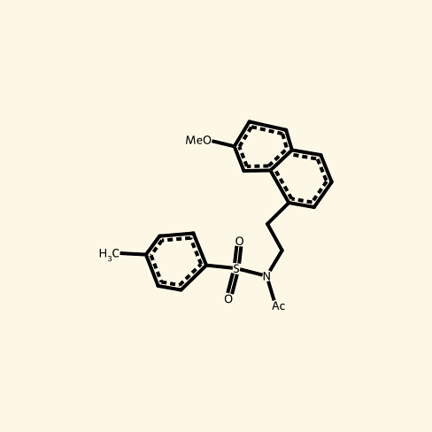 COc1ccc2cccc(CCN(C(C)=O)S(=O)(=O)c3ccc(C)cc3)c2c1